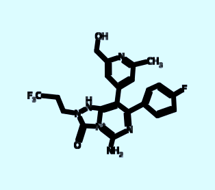 Cc1cc(-c2c(-c3ccc(F)cc3)nc(N)[n+]3c(=O)n(CCC(F)(F)F)[nH]c23)cc(CO)n1